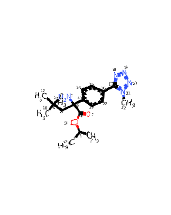 CC(C)OC(=O)C(N)(CC(C)(C)C)c1ccc(-c2nnnn2C)cc1